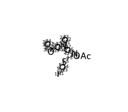 CC(=O)O/N=C(\CCCSc1ccc(CI)cc1)c1ccc(N(c2ccccc2)c2ccc(C(=O)c3ccccc3C)cc2)cc1